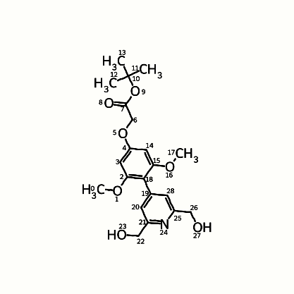 COc1cc(OCC(=O)OC(C)(C)C)cc(OC)c1-c1cc(CO)nc(CO)c1